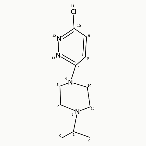 CC(C)N1CCN(c2ccc(Cl)nn2)CC1